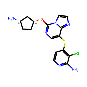 Nc1nccc(Sc2cnc(O[C@@H]3CC[C@H](N)C3)n3ccnc23)c1Cl